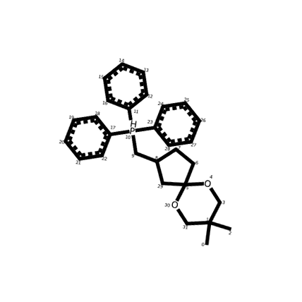 CC1(C)COC2(CCC(C[PH](c3ccccc3)(c3ccccc3)c3ccccc3)C2)OC1